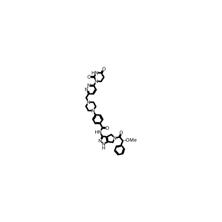 CO[C@@H](C(=O)N1Cc2[nH]nc(NC(=O)c3ccc(N4CCN(Cc5ccc(N6CCC(=O)NC6=O)nn5)CC4)cc3)c2C1)c1ccccc1